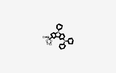 CCO[Si](OCC)(OCC)c1ccc2c(c1)c1cc(N(c3ccccc3)c3ccccc3)ccc1n2-c1ccccc1